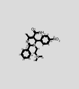 CC1=C(C(N)=O)C(c2ccc([N+](=O)[O-])cc2)N(CCN(C)C)C(c2ccccc2)=N1